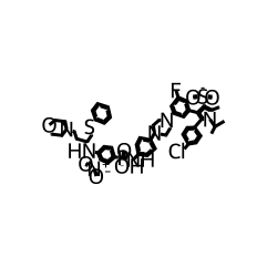 Cc1c(S(C)(=O)=O)c(-c2cc(F)cc(N3CCN(c4ccc(NP(=O)(O)c5ccc(NC(CCN6CCOCC6)CSc6ccccc6)c([N+](=O)[O-])c5)cc4)CC3)c2)c(-c2ccc(Cl)cc2)n1C(C)C